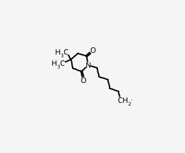 [CH2]CCCCCN1C(=O)CC(C)(C)CC1=O